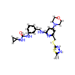 CCc1nnc(SCc2cc(N3CCOCC3)cc(NCc3cccc(NC(=O)NC4CC4)c3)n2)s1